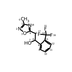 Cc1noc(CC(O)c2ccccc2C(F)(F)F)n1